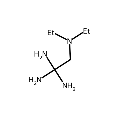 CCN(CC)CC(N)(N)N